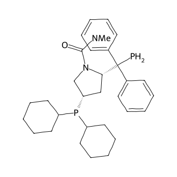 CNC(=O)N1C[C@@H](P(C2CCCCC2)C2CCCCC2)C[C@H]1C(P)(c1ccccc1)c1ccccc1